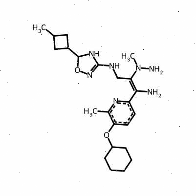 Cc1nc(/C(N)=C(\CNC2=NOC(C3CC(C)C3)N2)N(C)N)ccc1OC1CCCCC1